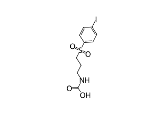 O=C(O)NCCCS(=O)(=O)c1ccc(I)cc1